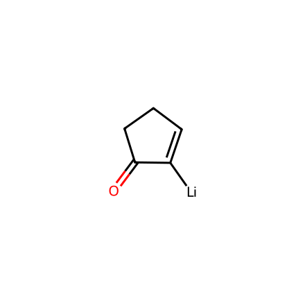 [Li][C]1=CCCC1=O